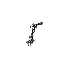 O=C1CCC(Nc2ccc(N3CCN(CCN4CCC(OCc5nc6cc(OCC7CCOCC7)cc(F)c6c(=O)[nH]5)CC4)CC3)c(F)c2)C(=O)N1